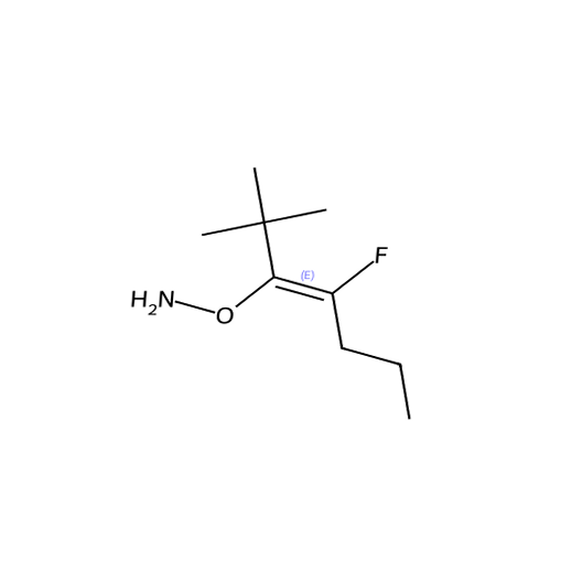 CCC/C(F)=C(\ON)C(C)(C)C